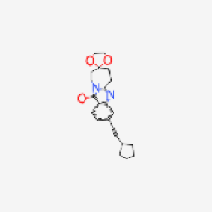 O=c1c2ccc(C#CC3CCCC3)cc2nc2n1CCC1(CC2)OCCO1